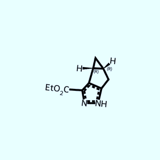 CCOC(=O)c1n[nH]c2c1[C@@H]1C[C@@H]1C2